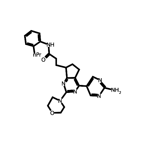 CCCc1ccccc1NC(=O)CCC1CCc2c(-c3cnc(N)nc3)nc(N3CCOCC3)nc21